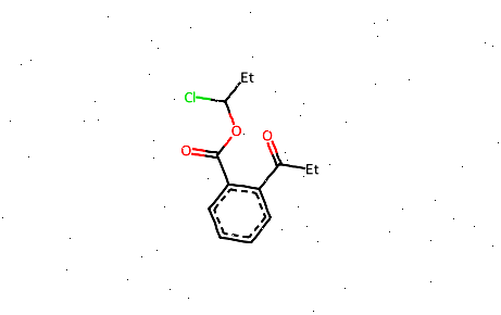 CCC(=O)c1ccccc1C(=O)OC(Cl)CC